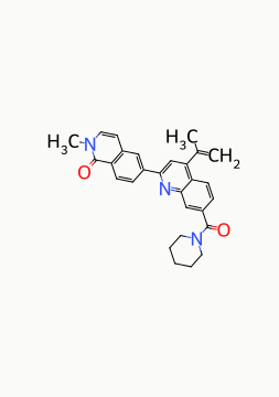 C=C(C)c1cc(-c2ccc3c(=O)n(C)ccc3c2)nc2cc(C(=O)N3CCCCC3)ccc12